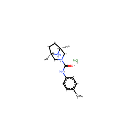 COc1ccc(NC(=O)N2C[C@H]3CC[C@@H](C2)N3)cc1.Cl